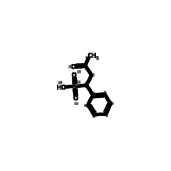 CC(=O)CC(c1ccccc1)S(=O)(=O)O